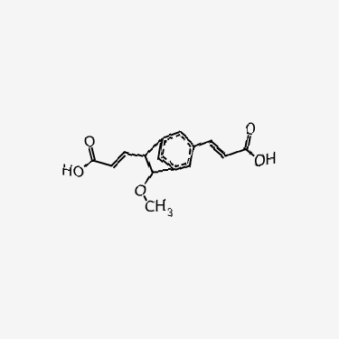 COC1c2cc(/C=C/C(=O)O)cc(c2)C1/C=C/C(=O)O